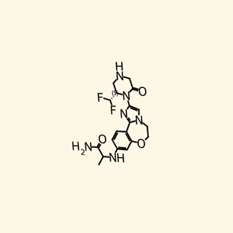 CC(Nc1ccc2c(c1)OCCn1cc(N3C(=O)CNC[C@H]3C(F)F)nc1-2)C(N)=O